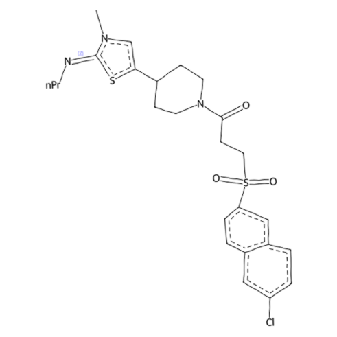 CCC/N=c1\sc(C2CCN(C(=O)CCS(=O)(=O)c3ccc4cc(Cl)ccc4c3)CC2)cn1C